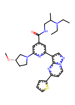 CCN(CC)C(C)CNC(=O)c1cc(-c2cnn3ccc(-c4cccs4)nc23)nc(N2CC[C@H](OC)C2)c1